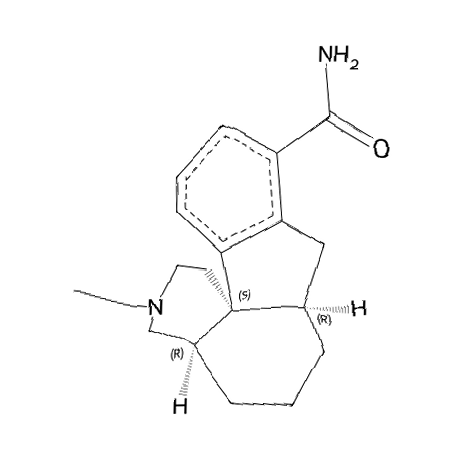 CN1CC[C@]23c4cccc(C(N)=O)c4C[C@H]2CCC[C@H]3C1